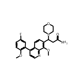 COc1ccc(F)cc1-c1ccnc2c(OC)c(C(CC(N)=O)N3CCOCC3)ccc12